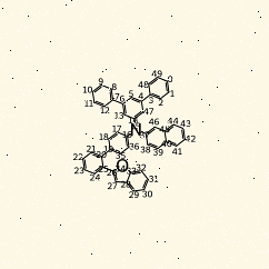 c1ccc(-c2cc(-c3ccccc3)cc(N(c3ccc(-c4ccccc4-c4cc5ccccc5o4)cc3)c3ccc4ccccc4c3)c2)cc1